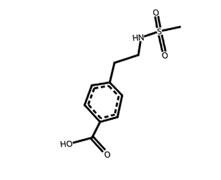 CS(=O)(=O)NCCc1ccc(C(=O)O)cc1